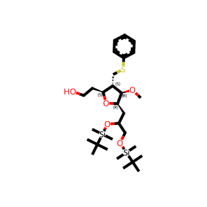 CO[C@@H]1[C@@H](CSc2ccccc2)[C@H](CCO)O[C@@H]1CC(CO[Si](C)(C)C(C)(C)C)O[Si](C)(C)C(C)(C)C